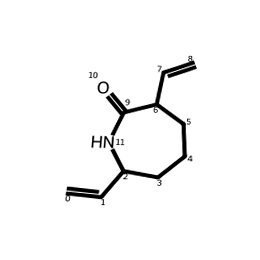 C=CC1CCCC(C=C)C(=O)N1